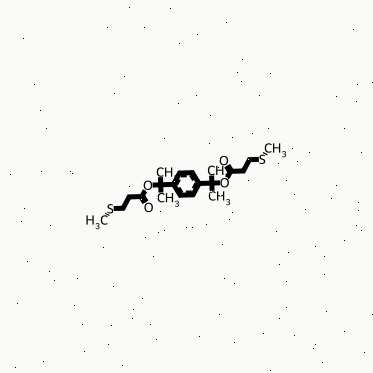 CSCCC(=O)OC(C)(C)c1ccc(C(C)(C)OC(=O)CCSC)cc1